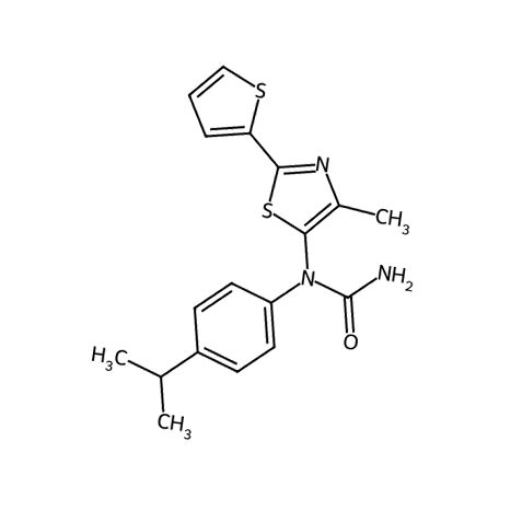 Cc1nc(-c2cccs2)sc1N(C(N)=O)c1ccc(C(C)C)cc1